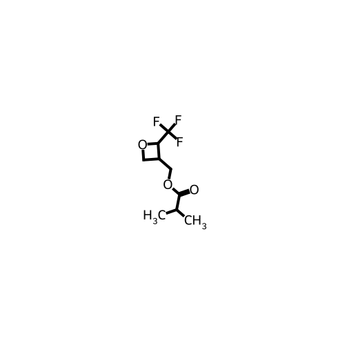 CC(C)C(=O)OCC1COC1C(F)(F)F